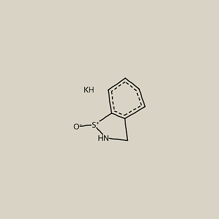 [KH].[O-][S+]1NCc2ccccc21